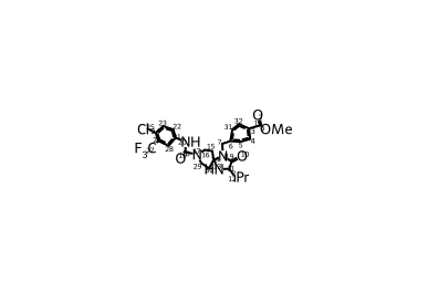 COC(=O)c1ccc(CN2C(=O)C(C(C)C)NC23CCN(C(=O)Nc2ccc(Cl)c(C(F)(F)F)c2)CC3)cc1